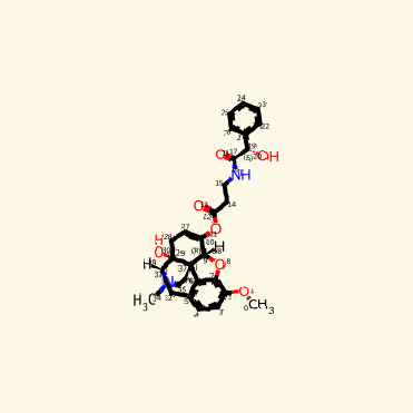 COc1ccc2c3c1O[C@H]1C(OC(=O)CCNC(=O)[C@@H](O)c4ccccc4)=CC[C@@]4(O)[C@@H](C2)N(C)CC[C@]314